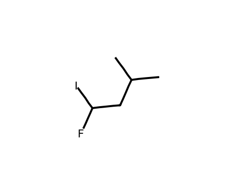 CC(C)CC(F)I